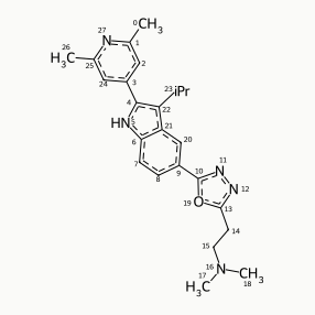 Cc1cc(-c2[nH]c3ccc(-c4nnc(CCN(C)C)o4)cc3c2C(C)C)cc(C)n1